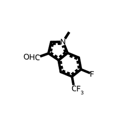 Cn1cc(C=O)c2cc(C(F)(F)F)c(F)cc21